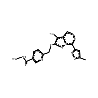 Cc1cc(-c2nncc3c(C(C)(C)C)c(OCc4ccc(C(=O)NC(C)(C)C)cn4)nn23)no1